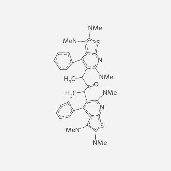 CNc1nc2sc(NC)c(NC)c2c(-c2ccccc2)c1C(C)C(=O)C(C)c1c(NC)nc2sc(NC)c(NC)c2c1-c1ccccc1